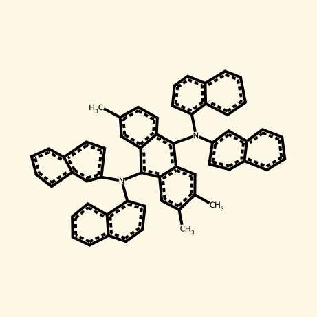 Cc1ccc2c(N(c3ccc4ccccc4c3)c3cccc4ccccc34)c3cc(C)c(C)cc3c(N(c3ccc4ccccc4c3)c3cccc4ccccc34)c2c1